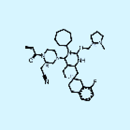 C=CC(=O)N1CCN(C2C3CC[C@]4(CCc5cccc(F)c5C4)CC3NC(OC[C@H]3CCCN3C)N2C2CCCCCC2)C[C@H]1CC#N